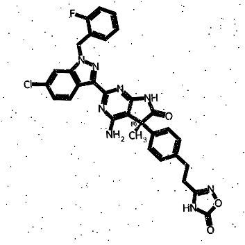 C[C@]1(c2ccc(CCc3noc(=O)[nH]3)cc2)C(=O)Nc2nc(-c3nn(Cc4ccccc4F)c4cc(Cl)ccc34)nc(N)c21